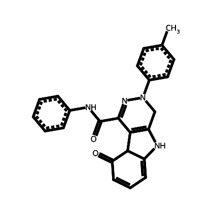 Cc1ccc(N2CC3=C(C(C(=O)Nc4ccccc4)=N2)C2C(=O)C=CC=C2N3)cc1